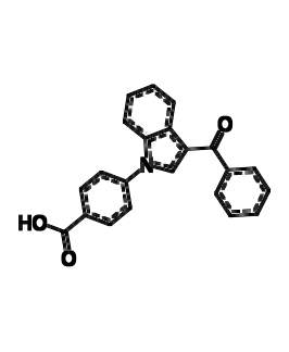 O=C(O)c1ccc(-n2cc(C(=O)c3ccccc3)c3ccccc32)cc1